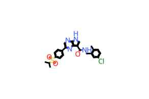 Cc1ccc(Cl)cc1CNC(=O)c1c[nH]c2ncc(-c3ccc(S(=O)(=O)C(C)C)cc3)nc12